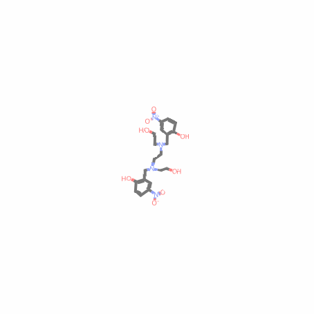 O=[N+]([O-])c1ccc(O)c(CN(CCO)CCN(CCO)Cc2cc([N+](=O)[O-])ccc2O)c1